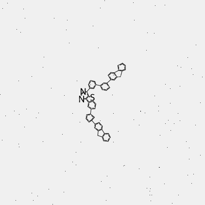 c1cc(-c2cccc(-c3ncnc4c3sc3ccc(-c5cccc(-c6ccc7c(c6)Cc6ccccc6-7)c5)cc34)c2)cc(-c2ccc3c(c2)Cc2ccccc2-3)c1